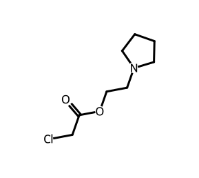 O=C(CCl)OCCN1CCCC1